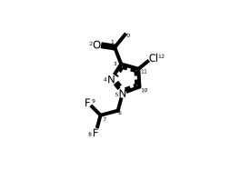 CC(=O)c1nn(CC(F)F)cc1Cl